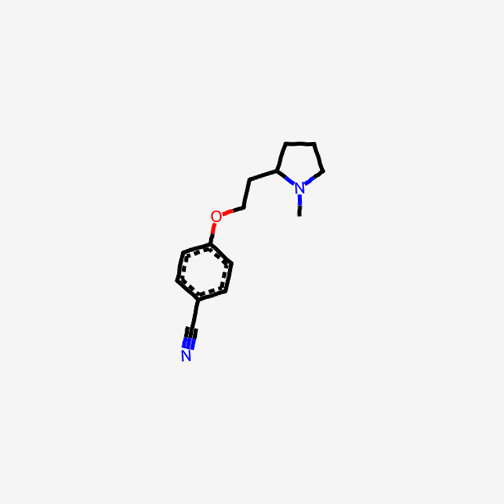 CN1CCCC1CCOc1ccc(C#N)cc1